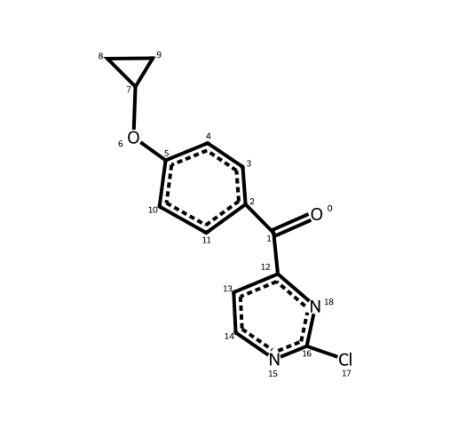 O=C(c1ccc(OC2CC2)cc1)c1ccnc(Cl)n1